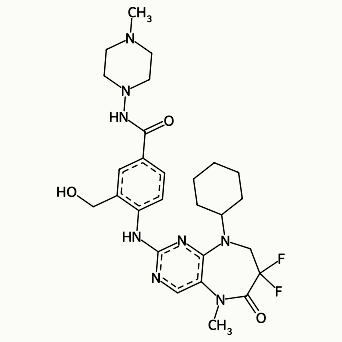 CN1CCN(NC(=O)c2ccc(Nc3ncc4c(n3)N(C3CCCCC3)CC(F)(F)C(=O)N4C)c(CO)c2)CC1